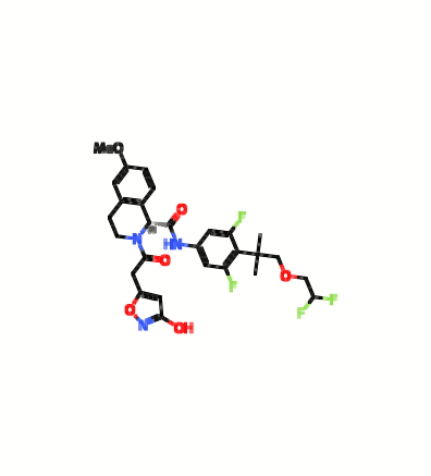 COc1ccc2c(c1)CCN(C(=O)Cc1cc(O)no1)[C@H]2C(=O)Nc1cc(F)c(C(C)(C)COCC(F)F)c(F)c1